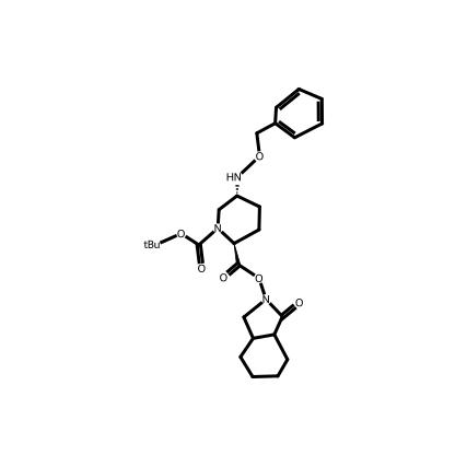 CC(C)(C)OC(=O)N1C[C@H](NOCc2ccccc2)CC[C@H]1C(=O)ON1CC2CCCCC2C1=O